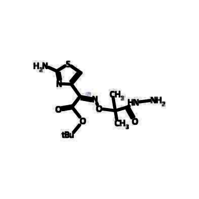 CC(C)(C)OC(=O)/C(=N\OC(C)(C)C(=O)NN)c1csc(N)n1